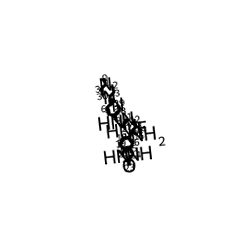 CN1CCN(c2ccc(NC3=NC=C(F)C(N)(c4ccc5[nH]c(=O)[nH]c5c4)N3)cn2)CC1